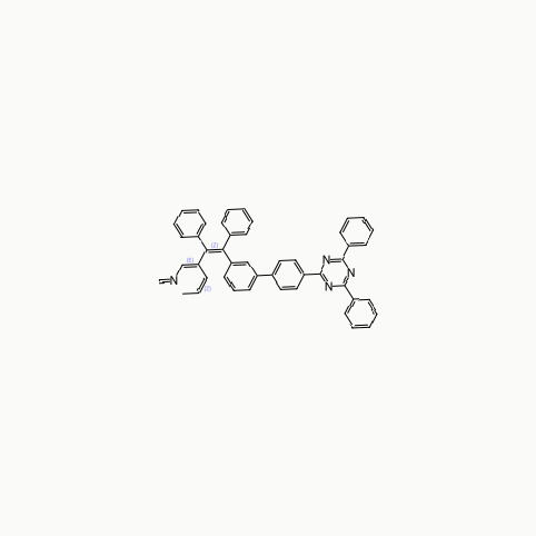 C=N/C=C(\C=C/C)C(=C(/c1ccccc1)c1cccc(-c2ccc(-c3nc(-c4ccccc4)nc(-c4ccccc4)n3)cc2)c1)/c1ccccc1